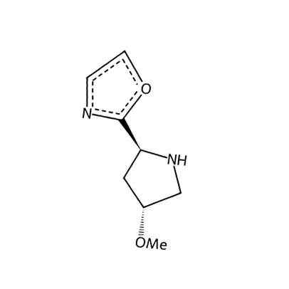 CO[C@H]1CN[C@H](c2ncco2)C1